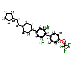 Fc1cc(C2CCC(CCC3CCCC3)CC2)cc(F)c1-c1ccc(OC(F)(F)F)cc1